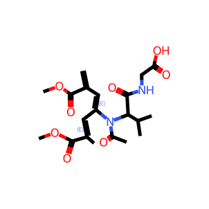 C=C(/C=C(\C=C(/C)C(=O)OC)N(C(C)=O)C(C(=O)NCC(=O)O)C(C)C)C(=O)OC